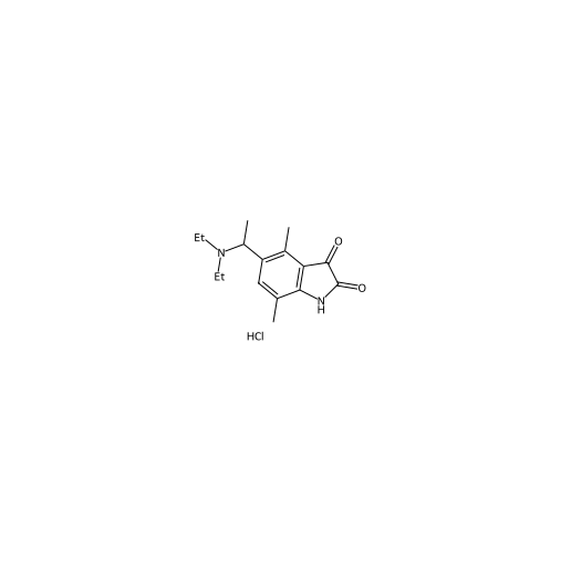 CCN(CC)C(C)c1cc(C)c2c(c1C)C(=O)C(=O)N2.Cl